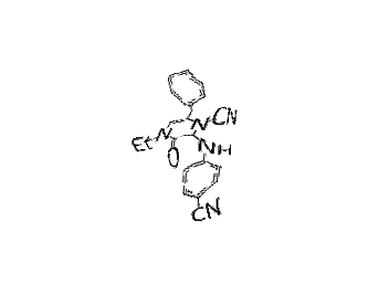 CCN1C=C(c2ccccc2)N(C#N)C(Nc2ccc(C#N)cc2)C1=O